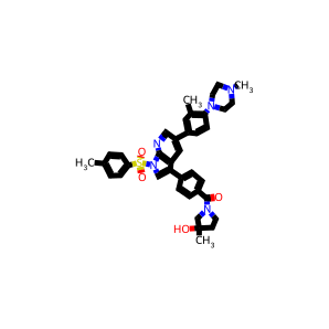 Cc1ccc(S(=O)(=O)n2cc(-c3ccc(C(=O)N4CCC(C)(O)C4)cc3)c3cc(-c4ccc(N5CCN(C)CC5)c(C)c4)cnc32)cc1